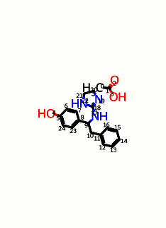 CC(=O)O.Oc1ccc(C(Cc2ccccc2)NC2=NCCN2)cc1